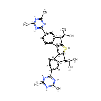 N#CC(C#N)=C1c2cc(-c3nc(C#N)nc(C#N)n3)ccc2-c2c1sc1c2-c2ccc(-c3nc(C#N)nc(C#N)n3)cc2C1=C(C#N)C#N